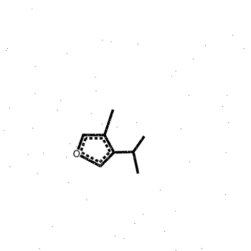 Cc1cocc1C(C)C